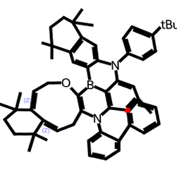 Cc1cc2c3c(c1)N(c1ccc(C(C)(C)C)cc1)c1cc4c(cc1B3C1=C(C/C=C3\C(=C/CO1)C(C)(C)CCC3(C)C)N2c1ccccc1-c1ccccc1)C(C)(C)CCC4(C)C